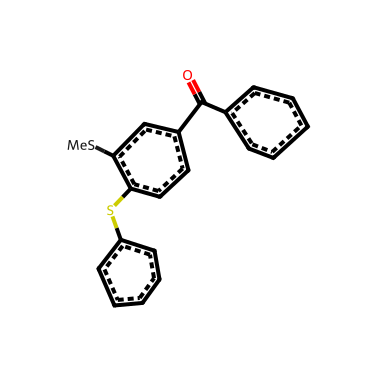 CSc1cc(C(=O)c2ccccc2)ccc1Sc1ccccc1